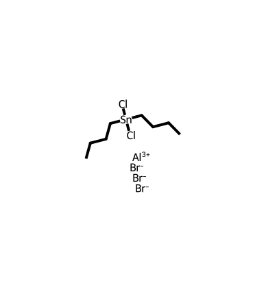 CCC[CH2][Sn]([Cl])([Cl])[CH2]CCC.[Al+3].[Br-].[Br-].[Br-]